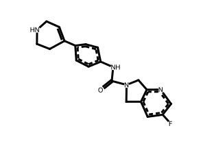 O=C(Nc1ccc(C2=CCNCC2)cc1)N1Cc2cc(F)cnc2C1